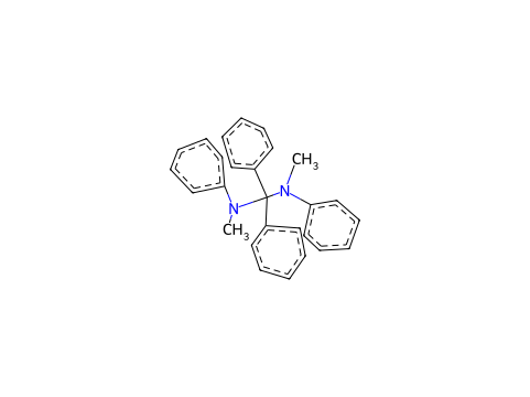 CN(c1ccccc1)C(c1ccccc1)(c1ccccc1)N(C)c1ccccc1